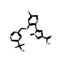 COC(=O)c1cc(-c2ncc(F)cc2OCc2cncc(C(C)(C)O)c2)n(C)c1